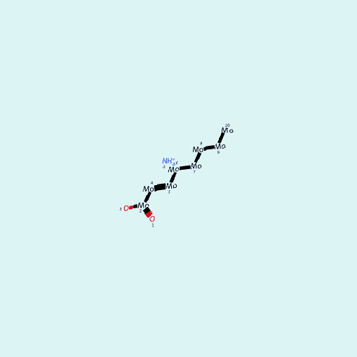 [NH4+].[O]=[Mo]([O-])/[Mo]=[Mo]/[Mo][Mo][Mo][Mo][Mo]